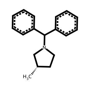 C[C@H]1CCN(C(c2ccccc2)c2ccccc2)C1